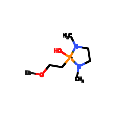 CCOCC[P]1(O)N(C)CCN1C